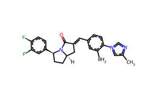 Bc1cc(/C=C2\C[C@H]3CC[C@@H](c4ccc(F)c(F)c4)N3C2=O)ccc1-n1cnc(C)c1